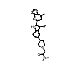 Cc1cc(-c2[nH]c3ccc(C4CCN(CC(=O)N(C)C)CC4)cc3c2C(C)C)nc2scnc12